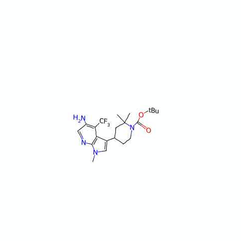 Cn1cc(C2CCN(C(=O)OC(C)(C)C)C(C)(C)C2)c2c(C(F)(F)F)c(N)cnc21